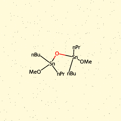 CCC[CH2][Sn]([CH2]CC)([O]C)[O][Sn]([CH2]CC)([CH2]CCC)[O]C